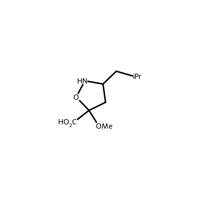 COC1(C(=O)O)CC(CC(C)C)NO1